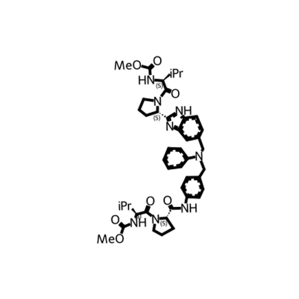 COC(=O)N[C@H](C(=O)N1CCC[C@H]1C(=O)Nc1ccc(CN(Cc2ccc3[nH]c([C@@H]4CCCN4C(=O)[C@@H](NC(=O)OC)C(C)C)nc3c2)c2ccccc2)cc1)C(C)C